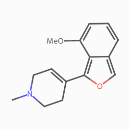 COc1cccc2coc(C3=CCN(C)CC3)c12